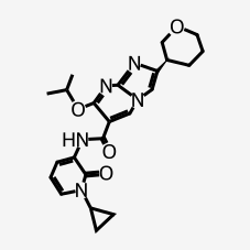 CC(C)Oc1nc2nc([C@@H]3CCCOC3)cn2cc1C(=O)Nc1cccn(C2CC2)c1=O